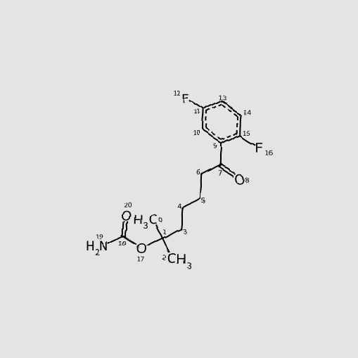 CC(C)(CCCCC(=O)c1cc(F)ccc1F)OC(N)=O